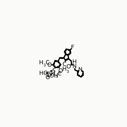 COc1cc(C=C2C(C)=C(CC(=O)NCc3ccccn3)c3cc(F)ccc32)cc(OC)c1SCP(=O)(O)O